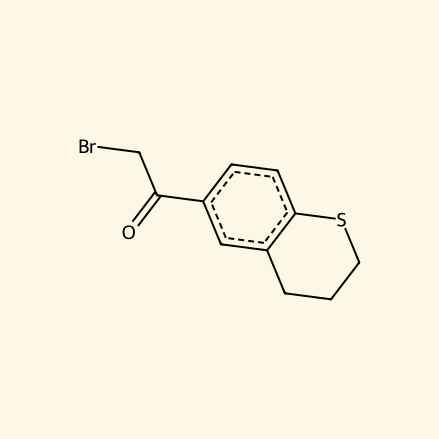 O=C(CBr)c1ccc2c(c1)CCCS2